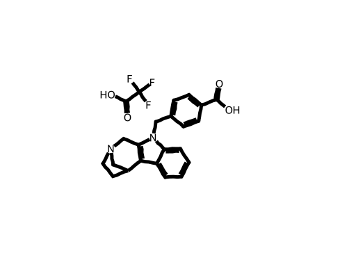 O=C(O)C(F)(F)F.O=C(O)c1ccc(Cn2c3c(c4ccccc42)C2CCN(C3)C2)cc1